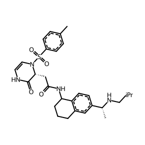 Cc1ccc(S(=O)(=O)N2C=CNC(=O)[C@H]2CC(=O)NC2CCCc3cc([C@@H](C)NCC(C)C)ccc32)cc1